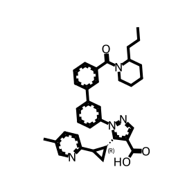 CCCC1CCCCN1C(=O)c1cccc(-c2cccc(-n3ncc(C(=O)O)c3[C@@H]3CC3c3ccc(C)cn3)c2)c1